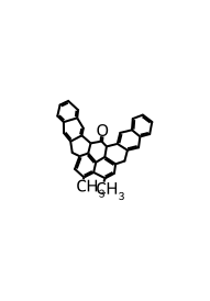 Cc1cc2c3c4c5c(cc(C)c14)Cc1cc4ccccc4cc1C5C(=O)C3c1cc3ccccc3cc1C2